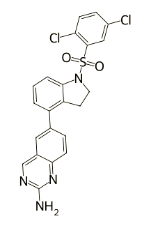 Nc1ncc2cc(-c3cccc4c3CCN4S(=O)(=O)c3cc(Cl)ccc3Cl)ccc2n1